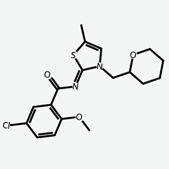 COc1ccc(Cl)cc1C(=O)N=c1sc(C)cn1CC1CCCCO1